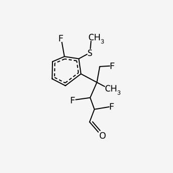 CSc1c(F)cccc1C(C)(CF)C(F)C(F)C=O